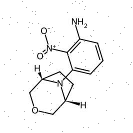 Nc1cccc(N2[C@@H]3CC[C@H]2COC3)c1[N+](=O)[O-]